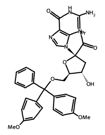 COc1ccc(C(OC[C@H]2O[C@@](C(=O)C(C)C)(n3cnc4c(=O)[nH]c(N)nc43)C[C@@H]2O)(c2ccccc2)c2ccc(OC)cc2)cc1